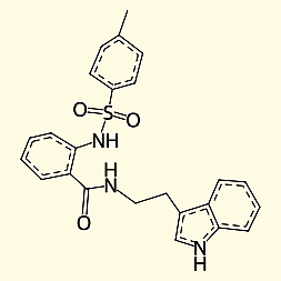 Cc1ccc(S(=O)(=O)Nc2ccccc2C(=O)NCCc2c[nH]c3ccccc23)cc1